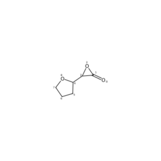 O=C1O[C]1C1CCCO1